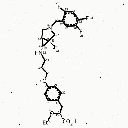 CCO[C@@H](Cc1ccc(OCCCN[C@@H]2C3CN(Cc4cc(F)c(F)cc4F)C[C@H]32)cc1)C(=O)O